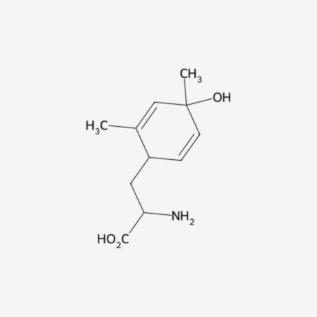 CC1=CC(C)(O)C=CC1CC(N)C(=O)O